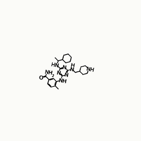 Cc1ccc(C(N)=O)cc1Nc1nc(NCC2CCNCC2)nc(NC(C)C2CCCCC2)n1